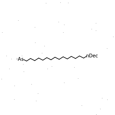 CCCCCCCCCCCCCCCCCCCCCCCCC[As]